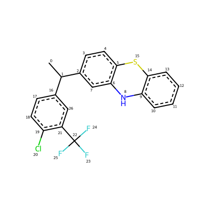 CC(c1ccc2c(c1)Nc1ccccc1S2)c1ccc(Cl)c(C(F)(F)F)c1